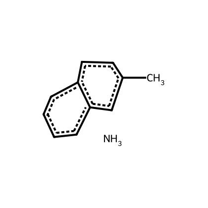 Cc1ccc2ccccc2c1.N